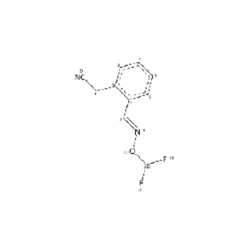 N#CCc1ccccc1/C=N/OC(F)F